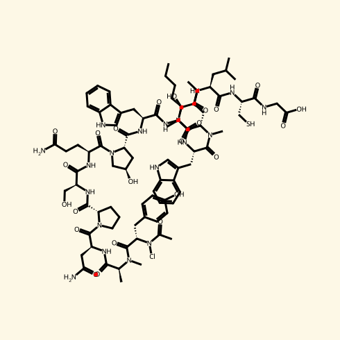 CCCC[C@@H](C(=O)N(C)[C@@H](CCCC)C(=O)N[C@@H](CC(C)C)C(=O)N[C@@H](CS)C(=O)NCC(=O)O)N(C)C(=O)[C@H](Cc1c[nH]c2ccccc12)NC(=O)[C@H](CO)NC(=O)[C@H](Cc1c[nH]c2ccccc12)NC(=O)[C@@H]1C[C@@H](O)CN1C(=O)[C@H](CCC(N)=O)NC(=O)[C@H](CO)NC(=O)[C@@H]1CCCN1C(=O)[C@H](CC(N)=O)NC(=O)[C@H](C)N(C)C(=O)[C@H](Cc1ccc(O)cc1)N(Cl)C(C)=O